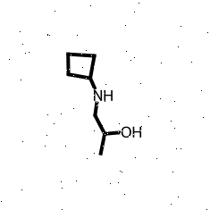 CC(O)CNC1CCC1